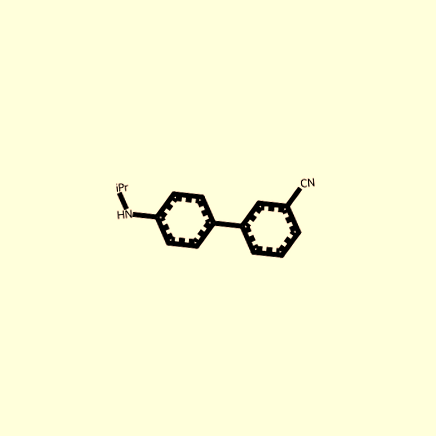 CC(C)Nc1ccc(-c2cccc(C#N)c2)cc1